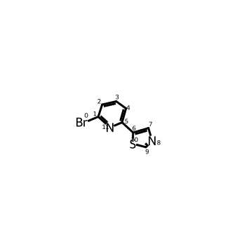 Brc1cccc(-c2cncs2)n1